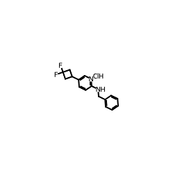 Cl.FC1(F)CC(c2ccc(NCc3ccccc3)nc2)C1